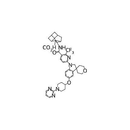 O=C(NC1(C(=O)O)C2CC3CC4CC1C34C2)c1ccc(N2CC3(CCOCC3)c3cc(OC4CCN(c5ncccn5)CC4)ccc32)nc1C(F)(F)F